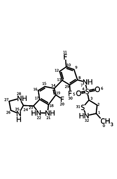 CC1CC(S(=O)(=O)Nc2cc(F)cc(-c3ccc4c(c3F)NNC4C3NCCN3)c2F)SN1